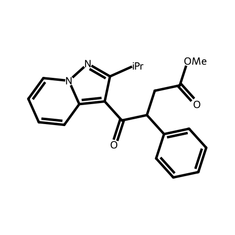 COC(=O)CC(C(=O)c1c(C(C)C)nn2ccccc12)c1ccccc1